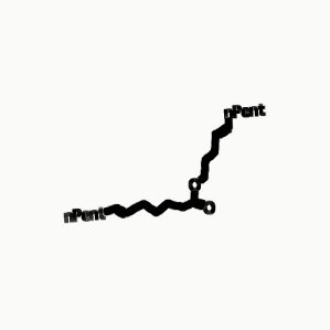 CCCCCC=CCCCCC(=O)OCCCC=CCCCCC